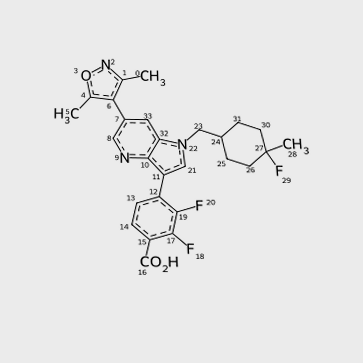 Cc1noc(C)c1-c1cnc2c(-c3ccc(C(=O)O)c(F)c3F)cn(CC3CCC(C)(F)CC3)c2c1